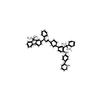 CC(C)(c1ccccc1)c1cc(-c2ccc(/C=C/C(c3ccccc3)c3ccc4c(c3)C(C)(C)c3ccccc3-4)cc2)ccc1Nc1ccc(C2=CC=CCN2)cc1